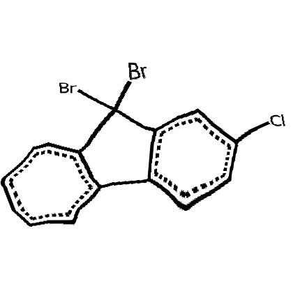 Clc1ccc2c(c1)C(Br)(Br)c1ccccc1-2